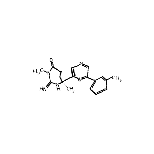 Cc1cccc(-c2cncc([C@]3(C)CC(=O)N(C)C(=N)N3)n2)c1